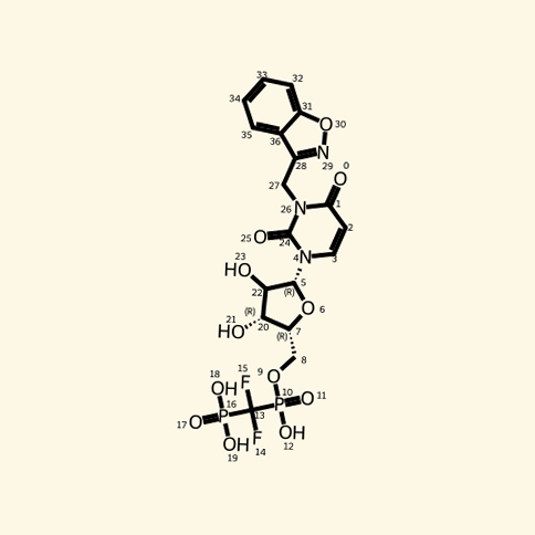 O=c1ccn([C@@H]2O[C@H](COP(=O)(O)C(F)(F)P(=O)(O)O)[C@H](O)C2O)c(=O)n1Cc1noc2ccccc12